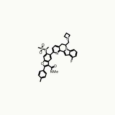 CNC(=O)c1c(-c2ccc(C)cc2)oc2cc(N(C)S(C)(=O)=O)c(-c3ccc4c(n3)-c3cc5c(F)cccc5n3C(CN3CCC3)C4)cc12